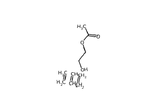 C=C.C=C.C=C.CC(=O)OCCO